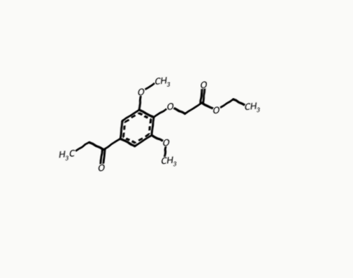 CCOC(=O)COc1c(OC)cc(C(=O)CC)cc1OC